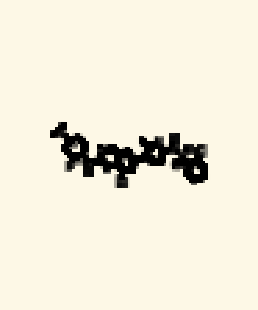 CCc1cc(-c2ccc(NS(=O)(=O)c3ccccc3Cl)nc2C)cc2cnc(N[C@H]3CC[C@H](N(C)C)C[C@@H]3F)nc12